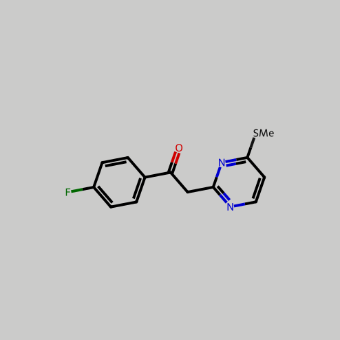 CSc1ccnc(CC(=O)c2ccc(F)cc2)n1